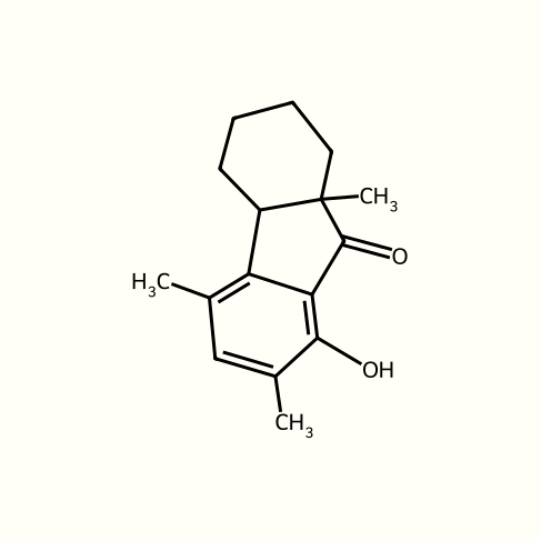 Cc1cc(C)c2c(c1O)C(=O)C1(C)CCCCC21